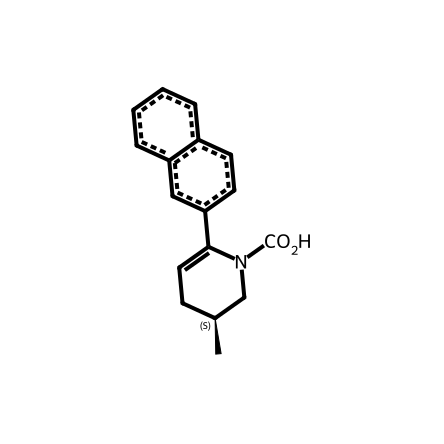 C[C@H]1CC=C(c2ccc3ccccc3c2)N(C(=O)O)C1